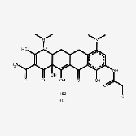 CN(C)c1cc(NC(=O)CCl)c(O)c2c1CC1CC3[C@H](N(C)C)C(O)=C(C(N)=O)C(=O)C3(O)C(O)=C1C2=O.Cl.Cl